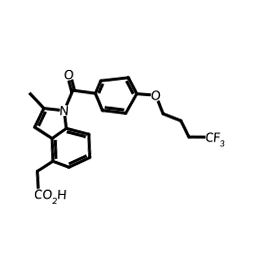 Cc1cc2c(CC(=O)O)cccc2n1C(=O)c1ccc(OCCCC(F)(F)F)cc1